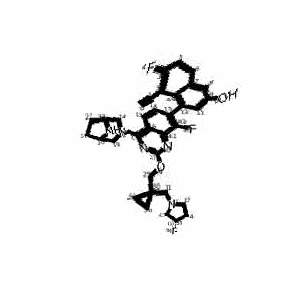 C#Cc1c(F)ccc2cc(O)cc(-c3ccc4c(N5CC6CCC(C5)N6)nc(OCC5(CN6CC[C@H](F)C6)CC5)nc4c3F)c12